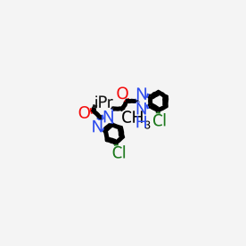 CC(C)C(=O)c1nc2cc(Cl)ccc2n1CC(C)C(=O)c1nc2cccc(Cl)c2[nH]1